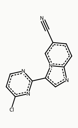 N#Cc1ccc2ncc(-c3nccc(Cl)n3)n2c1